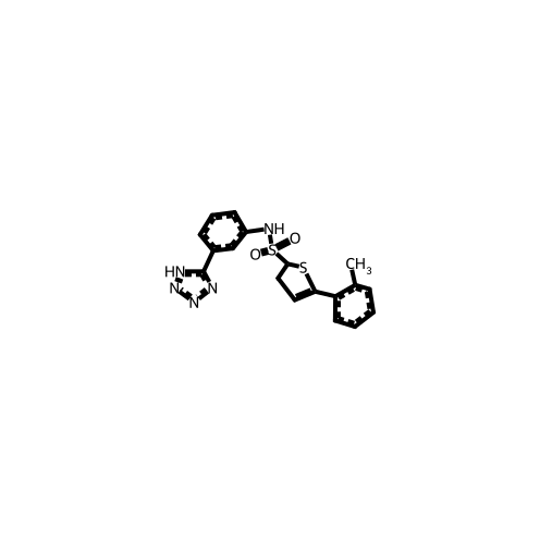 Cc1ccccc1C1=CCC(S(=O)(=O)Nc2cccc(-c3nnn[nH]3)c2)S1